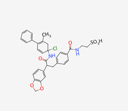 CC1=C(c2ccccc2)C=CC(Cl)(NC(=O)C(Cc2ccc(C(=O)NCCS(=O)(=O)O)cc2)c2ccc3c(c2)OCO3)C1